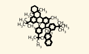 Cc1cc2c3c(c1)[C@@](C)(c1ccc(C(C)(C)C)cc1-c1ccc4ccccc4c1)c1cc(C(C)(C)C)ccc1B3c1cc(C(C)(C)C)cc3c1C2CC1(C)CCCCC31C